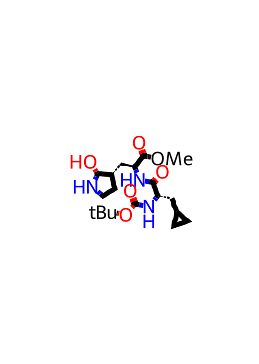 COC(=O)[C@H](C[C@@H]1CCNC1O)NC(=O)[C@H](CC1CC1)NC(=O)OC(C)(C)C